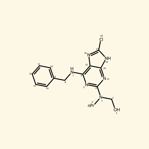 CCCN(CO)c1nc(NCc2ccccc2)c2nc(Cl)[nH]c2n1